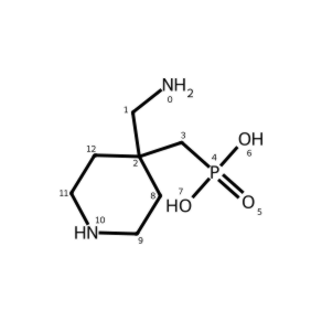 NCC1(CP(=O)(O)O)CCNCC1